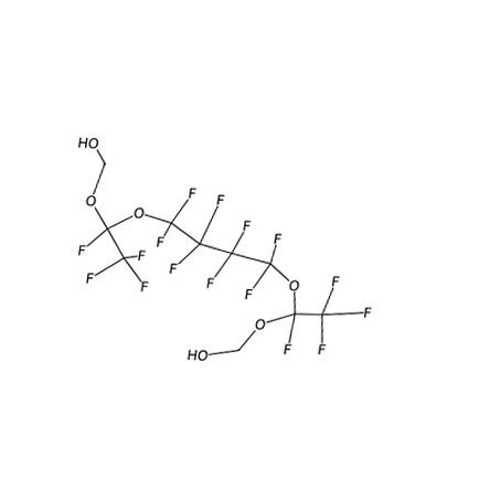 OCOC(F)(OC(F)(F)C(F)(F)C(F)(F)C(F)(F)OC(F)(OCO)C(F)(F)F)C(F)(F)F